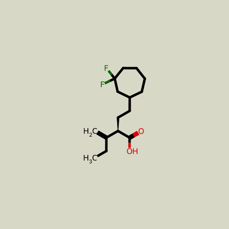 C=C(CC)[C@@H](CCC1CCCCC(F)(F)C1)C(=O)O